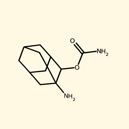 NC(=O)OC1C2CC3CC(C2)CC1(N)C3